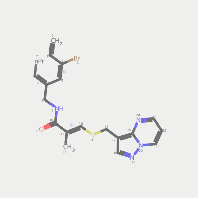 C=C/C(Br)=C\C(=C/CCC)CNC(=O)/C(C)=C/SCc1cnn2cccnc12